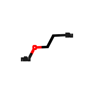 [CH2]CCCOCCC(C)CC